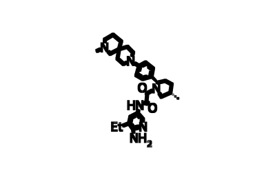 CCc1cc(NC(=O)C(=O)N2C[C@@H](C)CC[C@@H]2c2ccc(N3CCC4(CCCN(C)C4)CC3)cc2)cnc1N